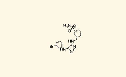 NS(=O)(=O)c1cccc(CNc2cc(Nc3cccc(Br)c3)ncn2)c1